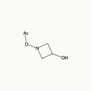 CC(=O)ON1CC(O)C1